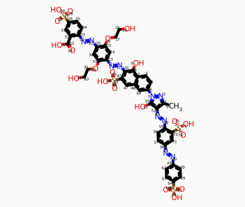 Cc1nn(-c2ccc3c(O)c(/N=N/c4cc(OCCO)c(/N=N/c5ccc(S(=O)(=O)O)cc5C(=O)O)cc4OCCO)c(S(=O)(=O)O)cc3c2)c(O)c1/N=N/c1ccc(/N=N/c2ccc(S(=O)(=O)O)cc2)cc1S(=O)(=O)O